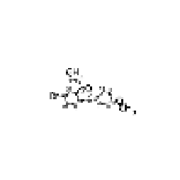 C[CH]CC(OCc1ccc(OC)cc1)c1cc(Br)ccc1I